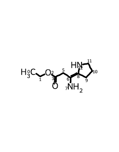 CCOC(=O)CC(N)=C1CCCN1